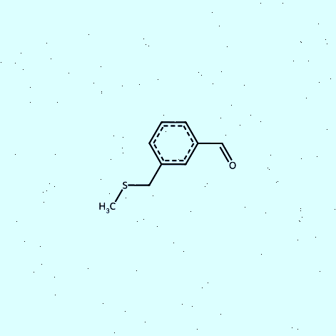 CSCc1cccc(C=O)c1